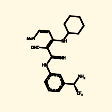 CN/C=C\C(NC1CCCCC1)=C(/C=O)C(=N)Nc1cccc([C@@H](N)C(F)(F)F)c1